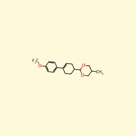 CC1COC(C2CC=C(c3ccc(OC(F)(F)F)cc3)CC2)OC1